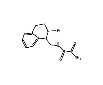 CC(C)N1CCc2ccccc2C1CNC(=O)C(N)=O